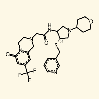 O=C(CN1CCn2c(cc(C(F)(F)F)cc2=O)C1)NC1CN(C2CCOCC2)C[C@@H]1SCc1cccnc1